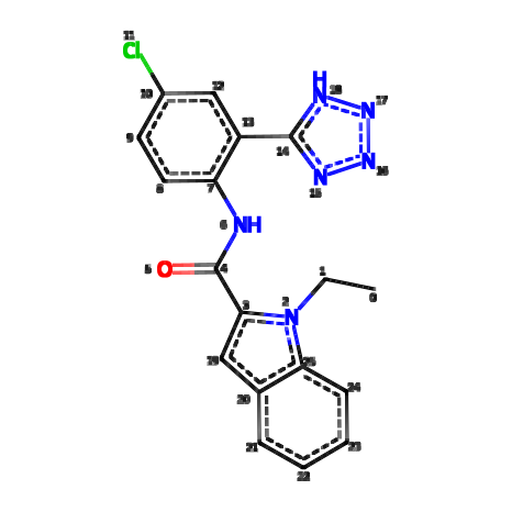 CCn1c(C(=O)Nc2ccc(Cl)cc2-c2nnn[nH]2)cc2ccccc21